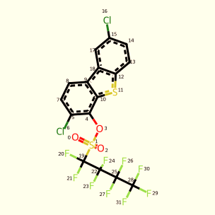 O=S(=O)(Oc1c(Cl)ccc2c1sc1ccc(Cl)cc12)C(F)(F)C(F)(F)C(F)(F)C(F)(F)F